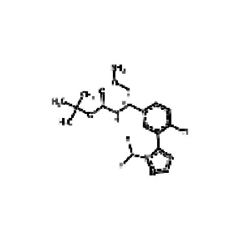 CC(C)(C)OC(=O)N[C@H](CON)c1ccc(Cl)c(-c2ncnn2C(F)F)c1